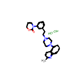 Cc1ccc2c(N3CCN(CCc4cccc(N5CCCOC5=O)c4)CC3)cccc2n1.Cl.Cl